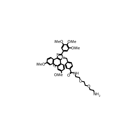 COc1ccc(-c2nc(-c3cc(OC)c(OC)c(OC)c3)n(Cc3ccc(C(=O)NCCOCCOCCN)cc3)c2-c2ccc(OC)cc2F)c(F)c1